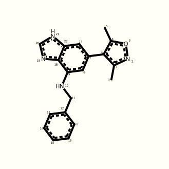 Cc1noc(C)c1-c1cc(NCc2ccccc2)c2nc[nH]c2c1